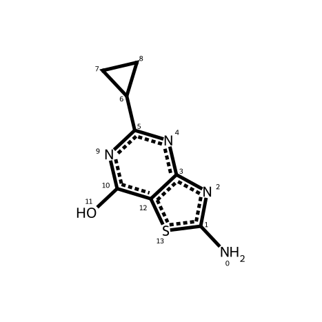 Nc1nc2nc(C3CC3)nc(O)c2s1